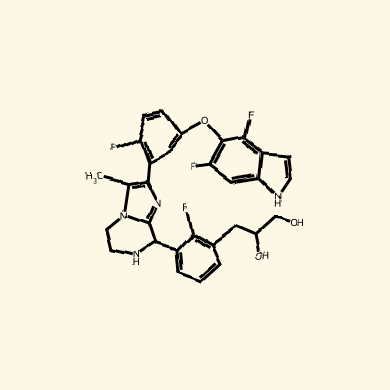 Cc1c(-c2cc(Oc3c(F)cc4[nH]ccc4c3F)ccc2F)nc2n1CCNC2c1cccc(CC(O)CO)c1F